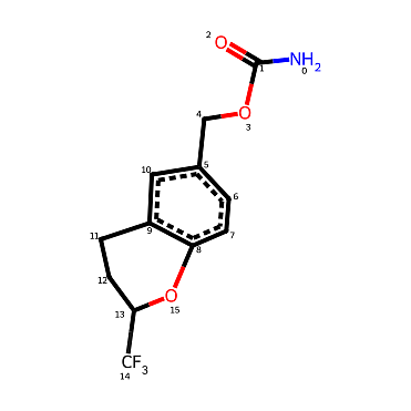 NC(=O)OCc1ccc2c(c1)CCC(C(F)(F)F)O2